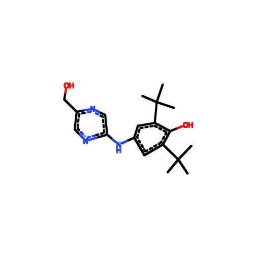 CC(C)(C)c1cc(Nc2cnc(CO)cn2)cc(C(C)(C)C)c1O